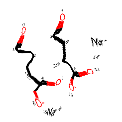 O=CCCC(=O)[O-].O=CCCC(=O)[O-].[Na+].[Na+]